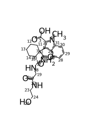 Cn1c(C(=O)O)c([C@]2(C(N)=O)CCCC[C@H]2C(=O)NCC(=O)NCCO)c2ccccc21